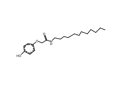 CCCCCCCCCCCCNC(=O)COc1ccc(O)cc1